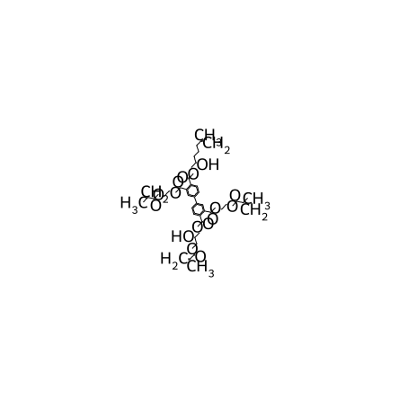 C=C(C)CCCC(O)COC(=O)c1ccc(-c2ccc(C(=O)OCC(O)COC(=O)C(=C)C)c(C(=O)OCCOC(=O)C(=C)C)c2)cc1C(=O)OCCOC(=O)C(=C)C